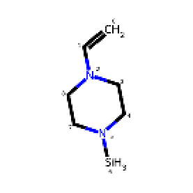 C=CN1CCN([SiH3])CC1